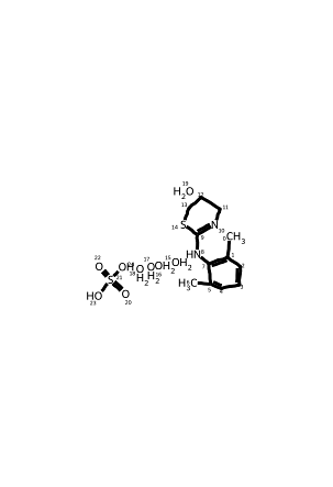 Cc1cccc(C)c1NC1=NCCCS1.O.O.O.O.O.O=S(=O)(O)O